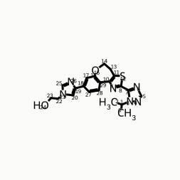 CC(C)n1ncnc1-c1nc2c(s1)CCOc1cc(-c3cn(CCO)cn3)ccc1-2